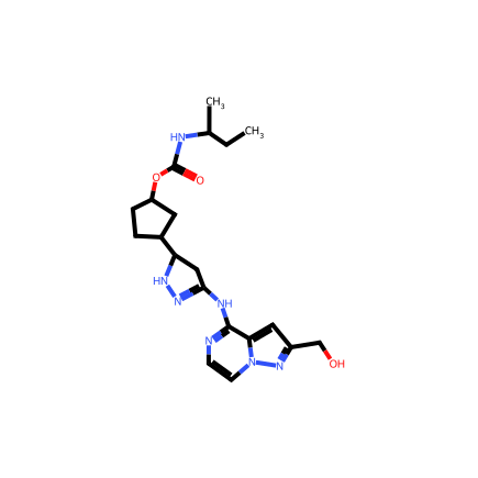 CCC(C)NC(=O)OC1CCC(C2CC(Nc3nccn4nc(CO)cc34)=NN2)C1